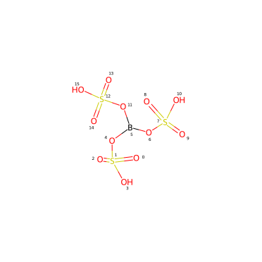 O=S(=O)(O)OB(OS(=O)(=O)O)OS(=O)(=O)O